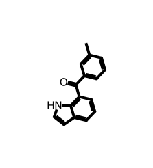 Cc1cccc(C(=O)c2cccc3cc[nH]c23)c1